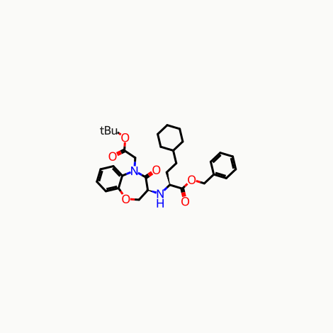 CC(C)(C)OC(=O)CN1C(=O)[C@@H](N[C@@H](CCC2CCCCC2)C(=O)OCc2ccccc2)COc2ccccc21